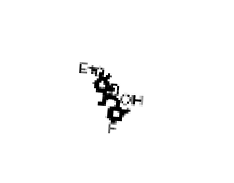 CC=c1/c(=C(/O)c2ccc(F)cc2C)oc2c(C)c(OCC)ccc12